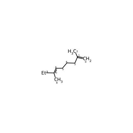 C=C(C)CCCC=C(C)CC